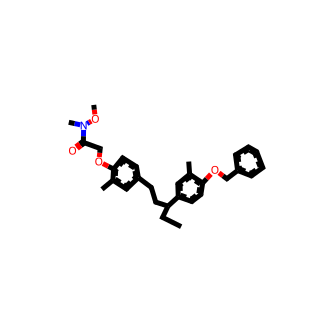 CCC(CCc1ccc(OCC(=O)N(C)OC)c(C)c1)c1ccc(OCc2ccccc2)c(C)c1